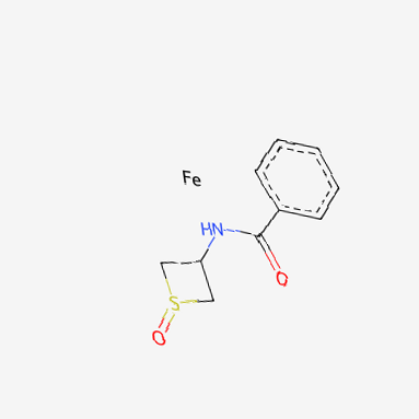 O=C(NC1CS(=O)C1)c1ccccc1.[Fe]